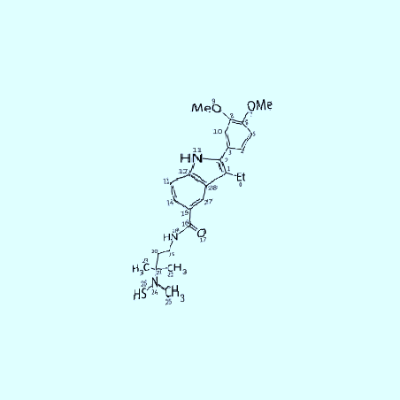 CCc1c(-c2ccc(OC)c(OC)c2)[nH]c2ccc(C(=O)NCCC(C)(C)N(C)S)cc12